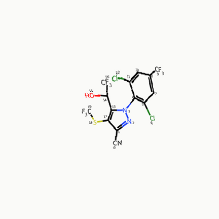 N#Cc1nn(-c2c(Cl)cc(C(F)(F)F)cc2Cl)c(C(O)C(F)(F)F)c1SC(F)(F)F